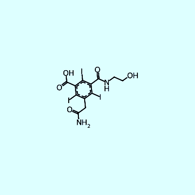 NC(=O)Cc1c(I)c(C(=O)O)c(I)c(C(=O)NCCO)c1I